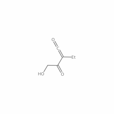 CCC(=C=O)C(=O)CO